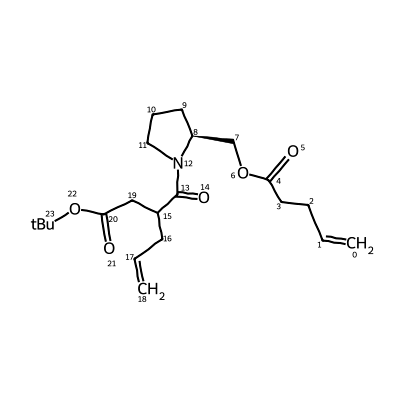 C=CCCC(=O)OC[C@@H]1CCCN1C(=O)C(CC=C)CC(=O)OC(C)(C)C